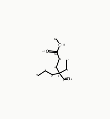 CCCC(C=O)(CC)CCC(=O)OC